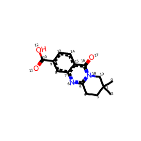 CC1(C)CCc2nc3cc(C(=O)O)ccc3c(=O)n2C1